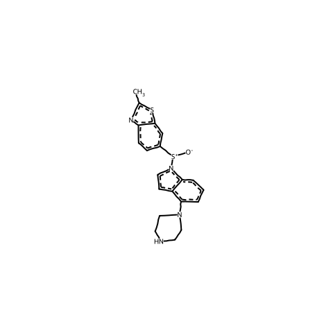 Cc1nc2ccc([S+]([O-])n3ccc4c(N5CCNCC5)cccc43)cc2s1